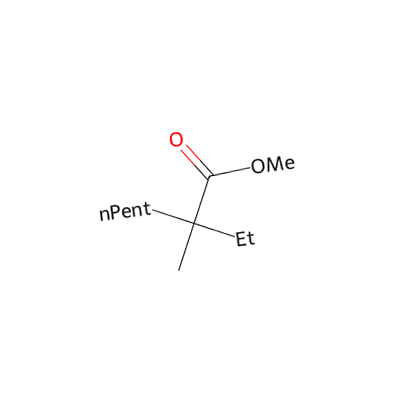 CCCCCC(C)(CC)C(=O)OC